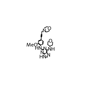 COc1cc(C#CCN2CCOCC2)ccc1Nc1nc(NC2CCOCC2)c2nc[nH]c2n1